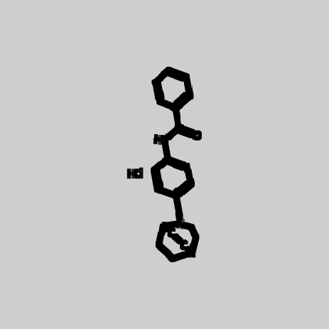 Cl.O=C(Nc1ccc(N2CCN3CCC2CC3)cc1)c1ccccc1